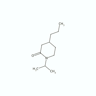 CCCC1CCN(C(C)C)C(=O)C1